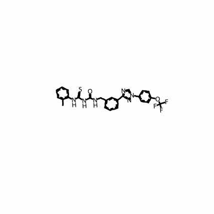 Cc1ccccc1NC(=S)NC(=O)NCc1cccc(-c2ncn(-c3ccc(OC(F)(F)F)cc3)n2)c1